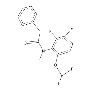 CN(C(=O)Cc1ccccc1)c1c(OC(F)F)ccc(F)c1F